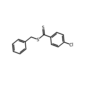 S=C(SCc1ccccc1)c1ccc(Cl)cc1